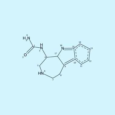 NC(=O)NC1CNCCC2=c3ccccc3=NC21